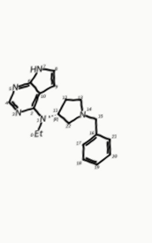 CCN(c1ncnc2[nH]ccc12)[C@@H]1CCN(Cc2ccccc2)C1